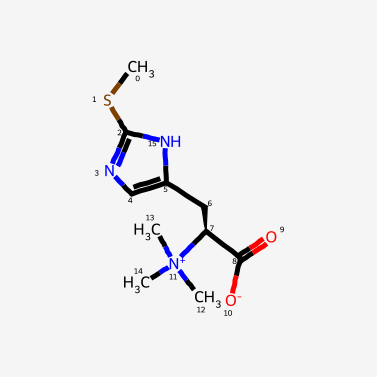 CSc1ncc(C[C@@H](C(=O)[O-])[N+](C)(C)C)[nH]1